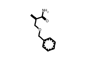 C=C(COCc1ccccc1)C(N)=O